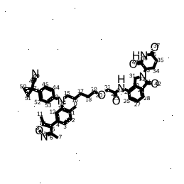 Cc1ccc(-c2c(C)noc2C)cc1N(CCCCCOCC(=O)Nc1cccc2c1CN(C1CCC(=O)NC1=O)C2=O)c1ccc(C2(C#N)CC2)cc1